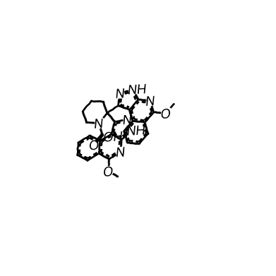 COc1nc2[nH]nc(C3(c4n[nH]c5nc(OC)c6ccccc6c45)CCCCN3C(=O)O)c2c2ccccc12